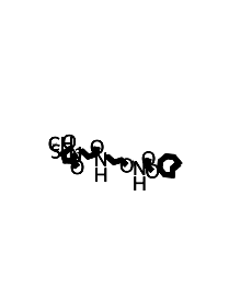 CSC1CC(=O)N(CCC(=O)NCCCOCNC(=O)OC2CC/C=C/CCC2)C1=O